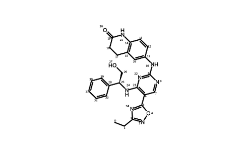 CCc1noc(-c2cnc(Nc3ccc4c(c3)CCC(=O)N4)nc2N[C@H](CO)c2ccccc2)n1